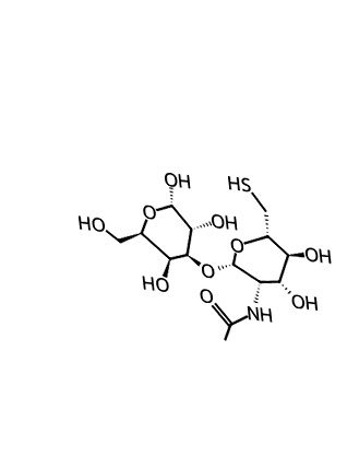 CC(=O)N[C@@H]1[C@H](O[C@@H]2[C@@H](O)[C@@H](O)O[C@H](CO)[C@@H]2O)O[C@H](CS)[C@@H](O)[C@@H]1O